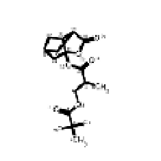 CC(COC(=O)C(C)(F)F)C(=O)OC12CC3CC(C(=O)O1)C2C3